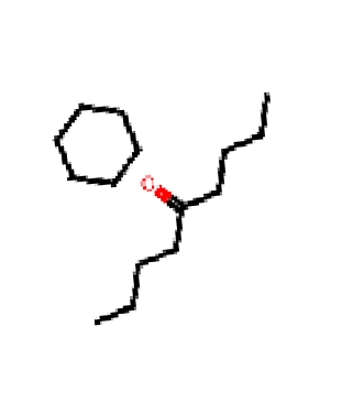 CCCCC(=O)CCCC.[CH]1CCCCC1